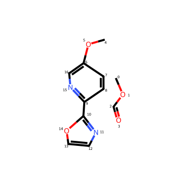 COC=O.COc1ccc(-c2ncco2)nc1